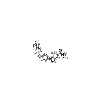 CC(F)(F)N1CCC(Oc2ccc(-n3ccc4cc(C(=O)N5CCC5)ccc43)nc2)CC1